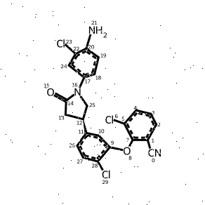 N#Cc1cccc(Cl)c1Oc1cc([C@H]2CC(=O)N(c3ccc(N)c(Cl)c3)C2)ccc1Cl